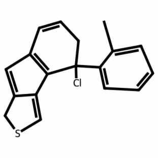 Cc1ccccc1C1(Cl)CC=CC2=C1C1=CSCC1=C2